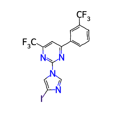 FC(F)(F)c1cccc(-c2cc(C(F)(F)F)nc(-n3cnc(I)c3)n2)c1